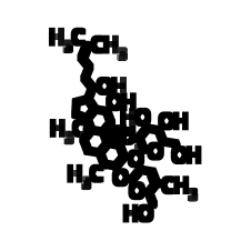 CC(C)=CCCC(O)C1CCC2C1C(O)CC1C3(C)CCC(OC4OC(CO)C(C)=CC4OC4OC(CO)C(O)C(O)C4O)C(C)C3CCC21C